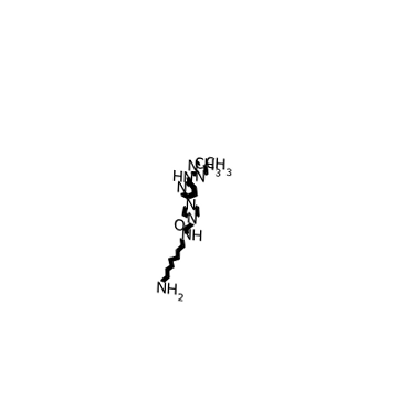 CC/C=N\C(=N/C)Nc1ccc(N2CCN(CC(=O)NCCCCCCCCCN)CC2)cn1